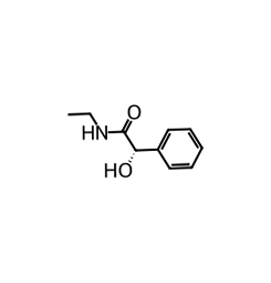 CCNC(=O)[C@@H](O)c1ccccc1